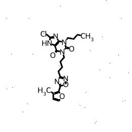 CCCCn1c(=O)n(CCCCc2noc(-c3occc3C)n2)c(=O)c2[nH]c(Cl)nc21